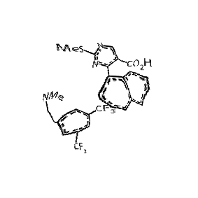 CNCc1cc(C(F)(F)F)cc(C(F)(F)F)c1.CSc1ncc(C(=O)O)c(-c2cccc3ccccc23)n1